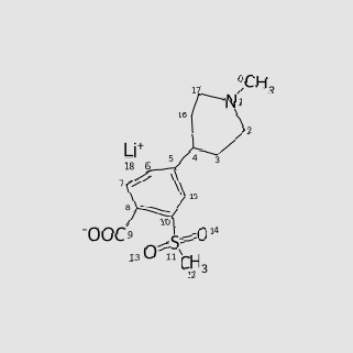 CN1CCC(c2ccc(C(=O)[O-])c(S(C)(=O)=O)c2)CC1.[Li+]